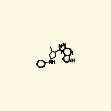 CC1CC(Nc2ccccc2)CC1c1nnc2cnc3[nH]ccc3n12